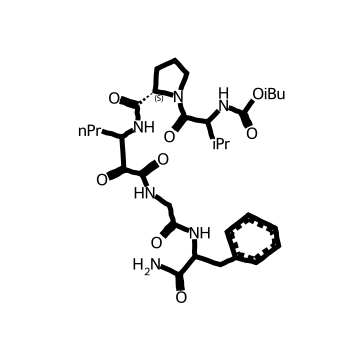 CCCC(NC(=O)[C@@H]1CCCN1C(=O)C(NC(=O)OCC(C)C)C(C)C)C(=O)C(=O)NCC(=O)NC(Cc1ccccc1)C(N)=O